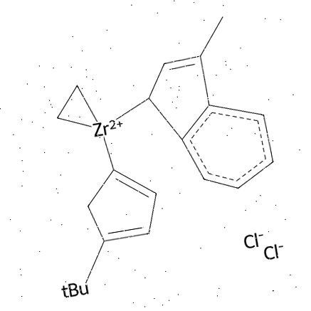 CC1=C[CH]([Zr+2]2([C]3=CC=C(C(C)(C)C)C3)[CH2][CH2]2)c2ccccc21.[Cl-].[Cl-]